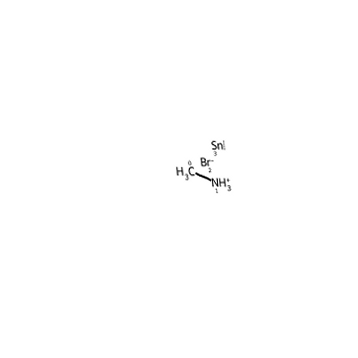 C[NH3+].[Br-].[Sn]